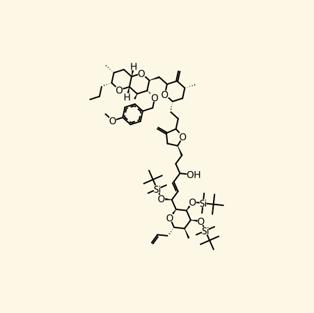 C=CC[C@@H]1O[C@@H]([C@H](/C=C/C(O)CC[C@H]2CC(=C)C(CC[C@H]3C[C@@H](C)C(=C)C(C[C@@H]4O[C@H]5C[C@@H](C)[C@@H](CCC)O[C@H]5[C@H](C)[C@H]4OCc4ccc(OC)cc4)O3)O2)O[Si](C)(C)C(C)(C)C)[C@@H](O[Si](C)(C)C(C)(C)C)[C@@H](O[Si](C)(C)C(C)(C)C)[C@H]1C